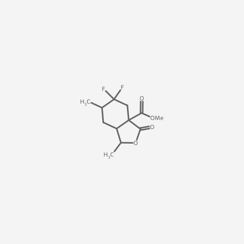 COC(=O)C12CC(F)(F)C(C)CC1C(C)OC2=O